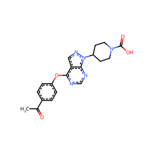 CC(=O)c1ccc(Oc2ncnc3c2cnn3C2CCN(C(=O)O)CC2)cc1